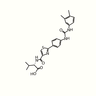 Cc1ccc(NC(=O)Nc2ccc(-c3nc(C(=O)N[C@H](C(=O)O)C(C)C)cs3)cc2)cc1C